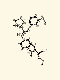 CCOC(=O)c1cc2cc(NC(=O)[C@H]3NCC[C@@H]3c3ccc(OC)cc3)ccc2[nH]1